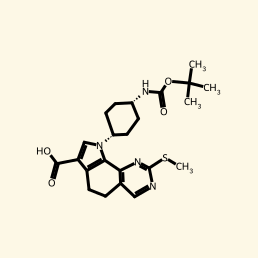 CSc1ncc2c(n1)-c1c(c(C(=O)O)cn1[C@H]1CC[C@@H](NC(=O)OC(C)(C)C)CC1)CC2